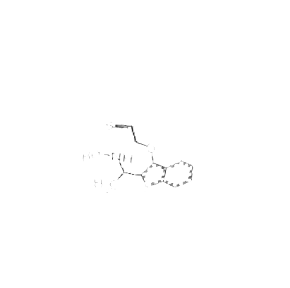 CC(NO)c1sc2ccccc2c1OCC=S